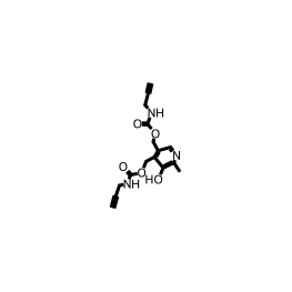 C#CCNC(=O)OCc1cnc(C)c(O)c1COC(=O)NCC#C